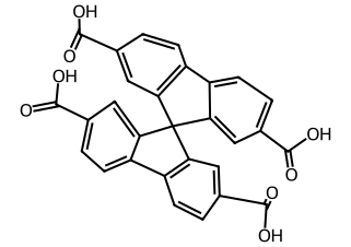 O=C(O)c1ccc2c(c1)C1(c3cc(C(=O)O)ccc3-2)c2cc(C(=O)O)ccc2-c2ccc(C(=O)O)cc21